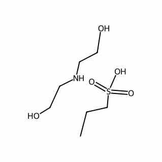 CCCS(=O)(=O)O.OCCNCCO